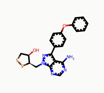 Nc1ncnc2c1c(-c1ccc(Oc3ccccc3)cc1)nn2C[C@H]1SSC[C@H]1O